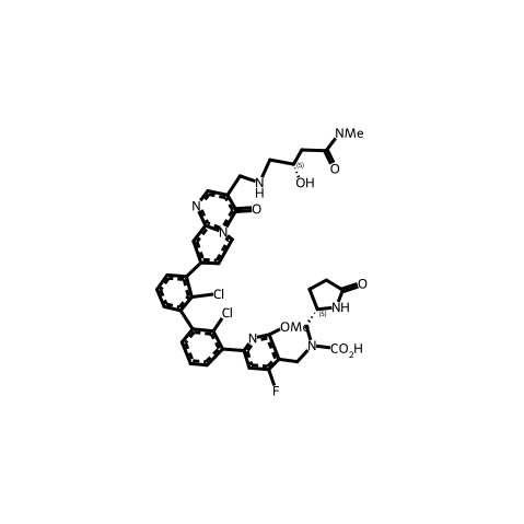 CNC(=O)C[C@H](O)CNCc1cnc2cc(-c3cccc(-c4cccc(-c5cc(F)c(CN(C[C@@H]6CCC(=O)N6)C(=O)O)c(OC)n5)c4Cl)c3Cl)ccn2c1=O